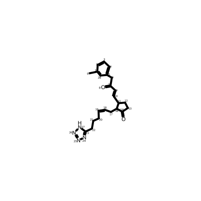 Cc1cccc(CC(=O)C=CC2CCC(=O)C2C/C=C\CCCc2nnn[nH]2)c1